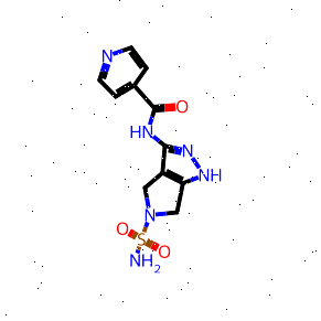 NS(=O)(=O)N1Cc2[nH]nc(NC(=O)c3ccncc3)c2C1